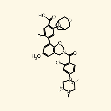 C[C@@H]1CN(c2ccc(C(=O)N3COc4c(cccc4-c4cc(N5C6CCC5COC6)c(C(=O)O)cc4F)C3)c(Cl)c2)[C@H](C)CN1C.O